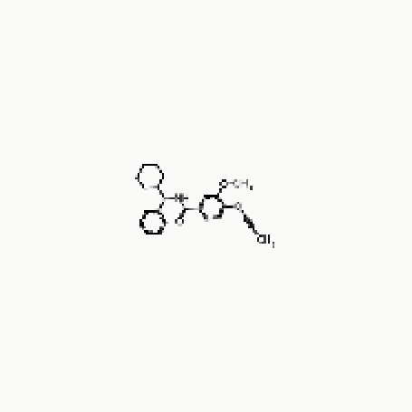 CC#COc1ccc(C(=O)NC(c2ccccc2)C2CCCCC2)cc1OC